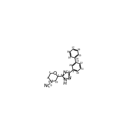 N#CN1CCOC(c2nc(-c3cccc(-c4ccccc4)c3)n[nH]2)C1